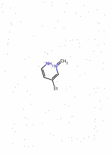 C=N/C=C(\C=C/N)CC